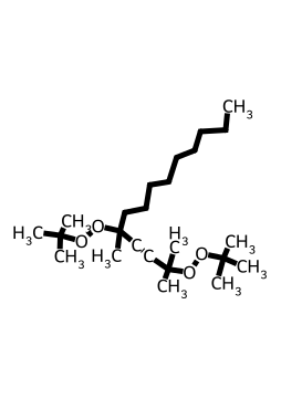 CCCCCCCCCC(C)(CCC(C)(C)OOC(C)(C)C)OOC(C)(C)C